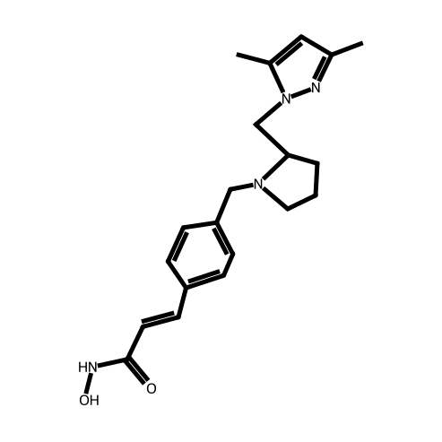 Cc1cc(C)n(CC2CCCN2Cc2ccc(C=CC(=O)NO)cc2)n1